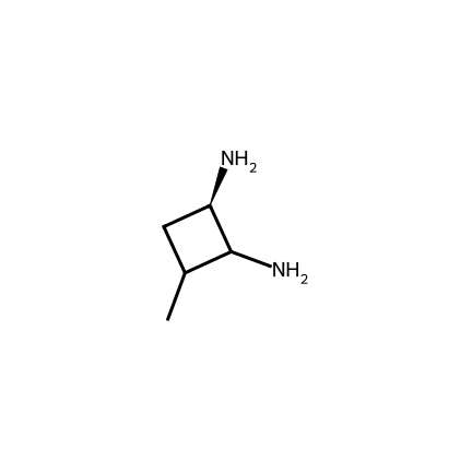 CC1C[C@@H](N)C1N